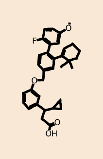 COc1ccc(F)c(-c2ccc(COc3cccc(C(CC(=O)O)C4CC4)c3)cc2C2=CCCCC2(C)C)c1